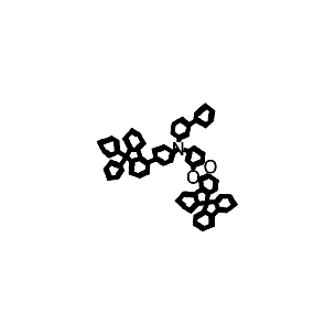 C1=C(c2ccccc2)C=C(N(c2ccc(-c3cccc4c3-c3ccccc3C4(c3ccccc3)c3ccccc3)cc2)c2ccc3c(c2)Oc2c(ccc4c2-c2ccccc2C42c4ccccc4-c4ccccc42)O3)CC1